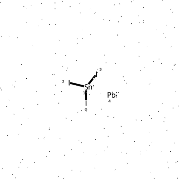 [I][Sn]([I])[I].[Pb]